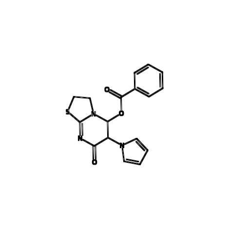 O=C(OC1C(n2cccc2)C(=O)N=C2SCCN21)c1ccccc1